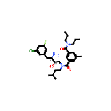 CCCN(CCC)C(=O)c1cc(C)cc(C(=O)N(CCC(C)C)C[C@@H](O)[C@@H](N)Cc2cc(F)cc(Cl)c2)c1